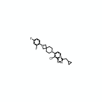 Fc1ccc(N2CC3(CCN(c4ccn5c(CC6CC6)nnc5c4Cl)CC3)C2)c(F)c1